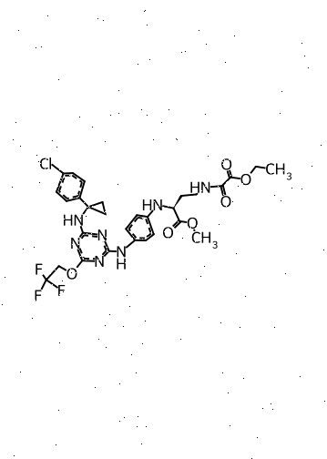 CCOC(=O)C(=O)NCC[C@H](Nc1ccc(Nc2nc(NC3(c4ccc(Cl)cc4)CC3)nc(OCC(F)(F)F)n2)cc1)C(=O)OC